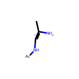 CC(=O)N/C=C(/C)N